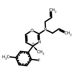 C=CCN(CC=C)C1=N[C@](C)(c2cc(C)ccc2F)C=CO1